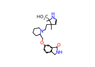 CC1(CCN2CCCCC2COc2ccc3c(c2)C(=O)NC3)C=CNC1(C)C(=O)O